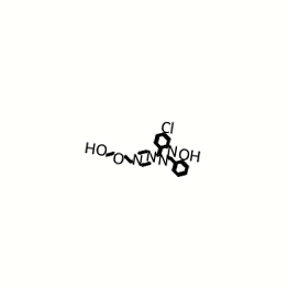 OCCOCCN1CCN(c2nc(-c3ccccc3O)nc3cc(Cl)ccc23)CC1